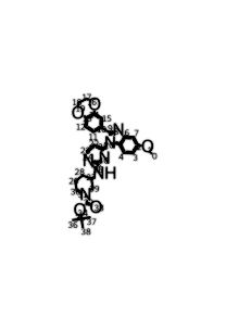 COc1ccc2c(c1)nc(-c1ccc3c(c1)OCCO3)n2-c1ccnc(NC2CCCN(C(=O)OC(C)(C)C)C2)n1